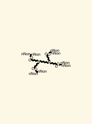 CCCCCCCCCC(CCCCCCCCC)COC(=O)CCCCN(CCCCCCN(CCCCC(=O)OCC(CCCCCCCCC)CCCCCCCCC)CCCCC(=O)OCC(CCCCCCCCC)CCCCCCCCC)CCCCC(=O)OCC(CCCCCCCCC)CCCCCCCCC